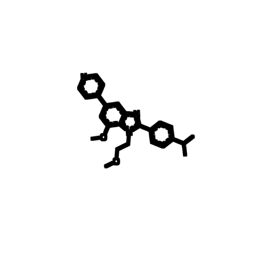 COCCn1c(-c2ccc(C(C)C)cc2)nc2cc(-c3ccncc3)cc(OC)c21